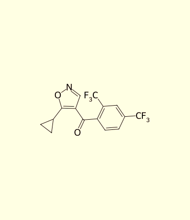 O=C(c1ccc(C(F)(F)F)cc1C(F)(F)F)c1cnoc1C1CC1